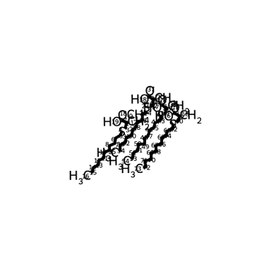 C.C=C(CSCCCCCCCCCCCC)C(=O)O.C=C(CSCCCCCCCCCCCC)C(=O)O.C=C(CSCCCCCCCCCCCC)C(=O)O.C=C(CSCCCCCCCCCCCC)C(=O)O